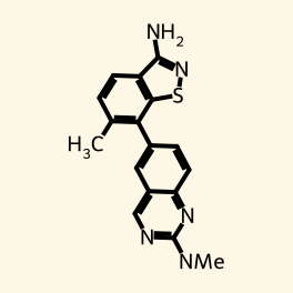 CNc1ncc2cc(-c3c(C)ccc4c(N)nsc34)ccc2n1